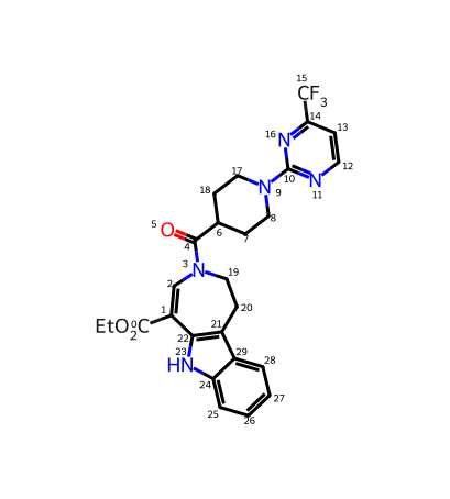 CCOC(=O)C1=CN(C(=O)C2CCN(c3nccc(C(F)(F)F)n3)CC2)CCc2c1[nH]c1ccccc21